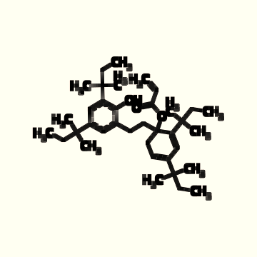 C=CC(=O)OC1(CCc2cc(C(C)(C)CC)cc(C(C)(C)CC)c2O)CC=C(C(C)(C)CC)C=C1C(C)(C)CC